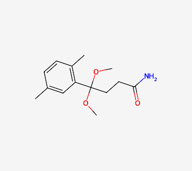 COC(CCC(N)=O)(OC)c1cc(C)ccc1C